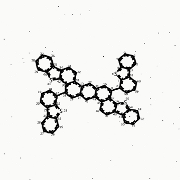 c1ccc2c(c1)sc1c(-c3cc4cc5c(cc(-c6cccc7c6sc6ccccc67)c6c5ccc5c7ccccc7sc56)cc4c4ccc5c6ccccc6sc5c34)cccc12